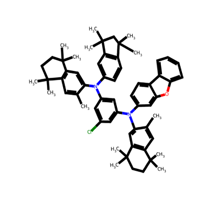 Cc1cc2c(cc1N(c1cc(Cl)cc(N(c3ccc4c(c3)oc3ccccc34)c3cc4c(cc3C)C(C)(C)CCC4(C)C)c1)c1ccc3c(c1)C(C)(C)CC3(C)C)C(C)(C)CCC2(C)C